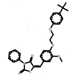 COc1cc(C=C2SC(=S)N(c3ccccc3)C2=O)ccc1OCCOc1ccc(C(C)(C)C)cc1